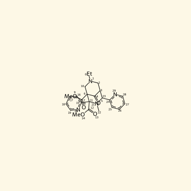 CCN1CC2C(=O)C(C(=O)OC)(C1)C(C(=O)OC)(c1ccccn1)N(C)C2c1ccccn1